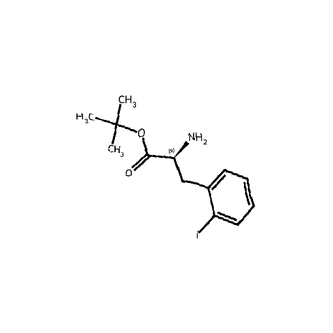 CC(C)(C)OC(=O)[C@@H](N)Cc1ccccc1I